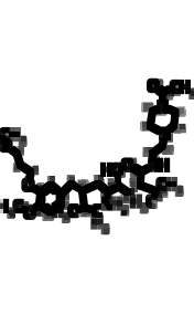 COCCCOc1cc(C[C@@H](C[C@H](N)[C@@H](O)C[C@H](C(=O)NCCN2CCN(C(C)=O)CC2)C(C)C)C(C)C)ccc1OC